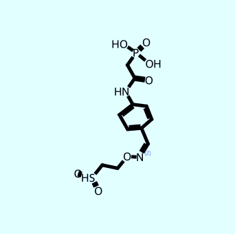 O=C(CP(=O)(O)O)Nc1ccc(/C=N\OCC[SH](=O)=O)cc1